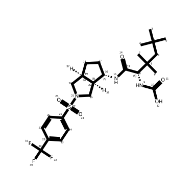 CC(C)(C)CC(C)(C)[C@H](NC(=O)O)C(=O)N[C@H]1CC[C@@H]2CN(S(=O)(=O)c3ccc(C(F)(F)F)cc3)C[C@@H]21